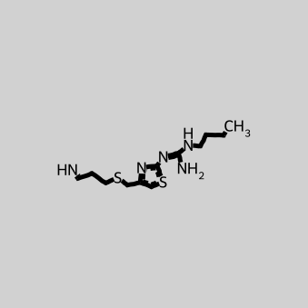 CCCCN/C(N)=N/c1nc(CSCCC=N)cs1